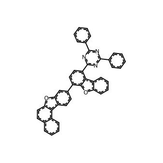 c1ccc(-c2nc(-c3ccccc3)nc(-c3ccc(-c4ccc5c(c4)oc4ccc6ccccc6c45)c4oc5ccccc5c34)n2)cc1